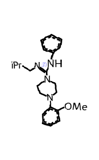 COc1ccccc1N1CCN(/C(=N\CC(C)C)Nc2ccccc2)CC1